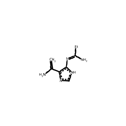 C=C(N)c1nc[nH]c1/N=C(\N)CC